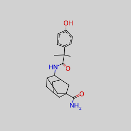 CC(C)(C(=O)NC1C2CC3CC1CC(C(N)=O)(C3)C2)c1ccc(O)cc1